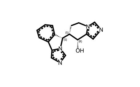 O[C@H]1c2cncn2CC[C@H]1[C@H]1c2ccccc2-c2cncn21